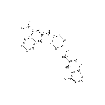 Cc1cccc(C)c1NC(=O)NC[C@H]1CC[C@@H](Nc2cc(N(C)C)c3ccccc3n2)CC1